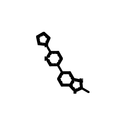 Cc1nc2cc(-c3ccc(-n4cccc4)nc3)ccc2s1